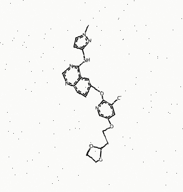 Cn1ccc(Nc2ncnc3ccc(Oc4ncc(OCCC5OCCO5)cc4Cl)cc23)n1